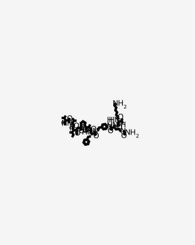 CCC(C)C(C(CC(=O)N1CCCC1C(OC)C(C)C(=O)N[C@@H](CCc1ccccc1)C(=O)NCCc1ccc(NC(=O)C(CCCNC(N)=O)NC(=O)[C@H](NC(=O)CCCCCN)C(C)C)cc1)OC)N(C)C(=O)[C@@H](NC(=O)C(C(C)C)N(C)C)C(C)C